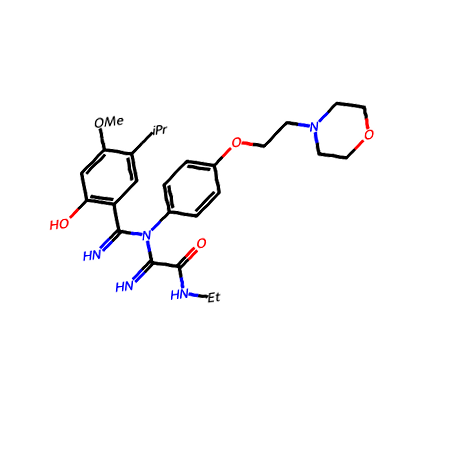 CCNC(=O)C(=N)N(C(=N)c1cc(C(C)C)c(OC)cc1O)c1ccc(OCCN2CCOCC2)cc1